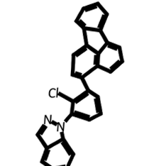 Clc1c(-c2ccc3c4c(cccc24)-c2ccccc2-3)cccc1-n1ncc2ccccc21